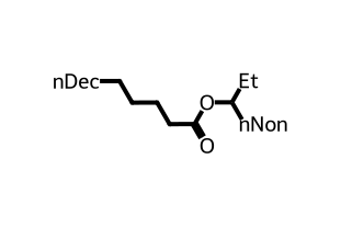 CCCCCCCCCCCCCCC(=O)OC(CC)CCCCCCCCC